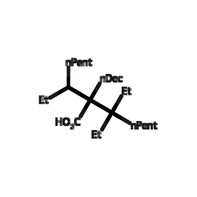 CCCCCCCCCCC(C(=O)O)(C(CC)CCCCC)C(CC)(CC)CCCCC